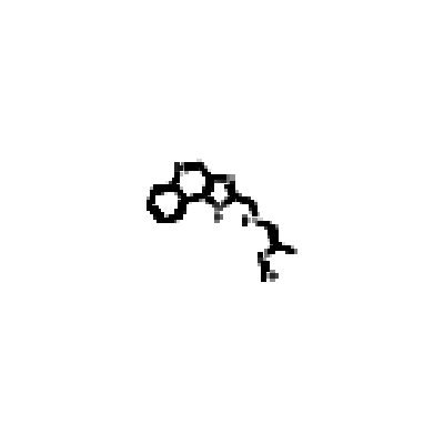 C/C(=C/NCc1nc2cnc3ccccc3c2[nH]1)N=N